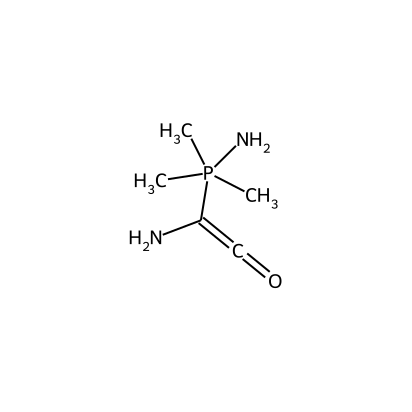 CP(C)(C)(N)C(N)=C=O